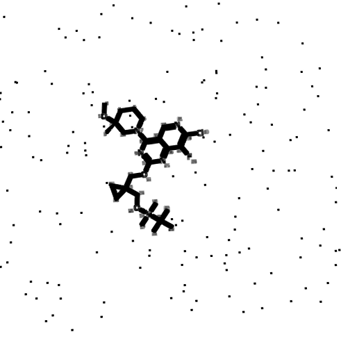 CO[C@]1(C)CCCN(c2nc(OCC3(CO[Si](C)(C)C(C)(C)C)CC3)nc3c(F)c(Cl)ncc23)C1